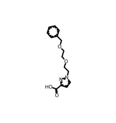 O=C(O)c1ccn(CCOCCOCc2ccccc2)n1